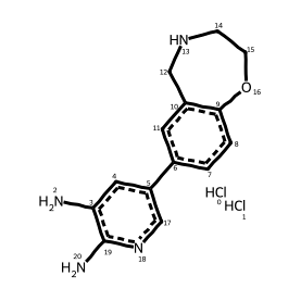 Cl.Cl.Nc1cc(-c2ccc3c(c2)CNCCO3)cnc1N